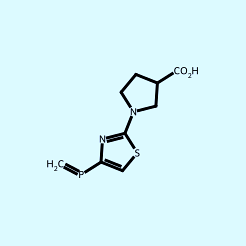 C=Pc1csc(N2CCC(C(=O)O)C2)n1